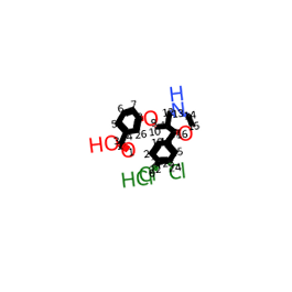 Cl.O=C(O)c1cccc(OCC2CNCCOC2c2ccc(Cl)c(Cl)c2)c1